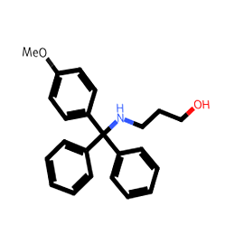 COc1ccc(C(NCCCO)(c2ccccc2)c2ccccc2)cc1